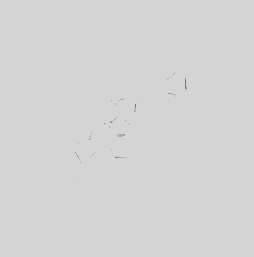 Cn1cc(C2CC2)cc(N(C(=O)C(F)(F)F)c2cn3cc(OCc4ccccc4)cnc3n2)c1=O